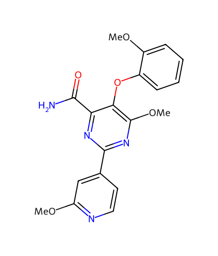 COc1cc(-c2nc(OC)c(Oc3ccccc3OC)c(C(N)=O)n2)ccn1